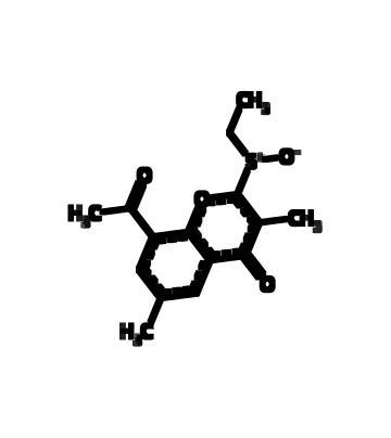 CC[S+]([O-])c1oc2c(C(C)=O)cc(C)cc2c(=O)c1C